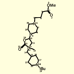 COC(=O)CCCN1CCN(C2C[N+](C)(CC3CCN(C(C)(C)C)CC3)C(=O)O2)CC1